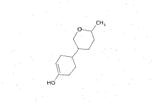 CC1CCC(C2CC=C(O)CC2)CO1